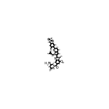 COc1cc(C(=O)N2C[C@H](N)C[C@@H](F)C2)cc2nc(-c3cc4ccc(-c5ccc(CS(C)(=O)=O)cc5C)nc4n3CC3CC3)n(C)c12